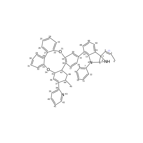 C/C=C\C12NC1N(c1ccccc1)c1c(-c3ccc4c(c3)Oc3ccccc3-c3ccccc3OC3C=C(c5ccccn5)C(C)CC43)cccc12